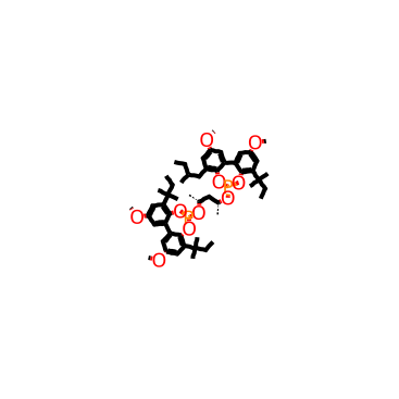 CCC(C)Cc1cc(OC)cc2c1op(O[C@H](C)C[C@@H](C)Op1oc3c(C(C)(C)CC)cc(OC)cc3c3cc(OC)cc(C(C)(C)CC)c3o1)oc1c(C(C)(C)CC)cc(OC)cc12